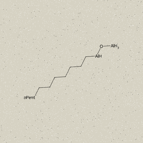 CCCCCCCCCCC[CH2][AlH][O][AlH2]